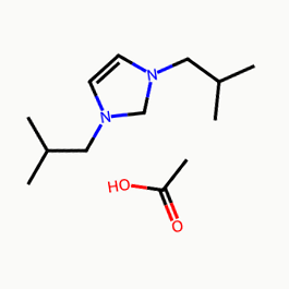 CC(=O)O.CC(C)CN1C=CN(CC(C)C)C1